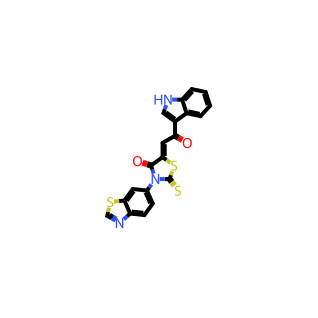 O=C(C=C1SC(=S)N(c2ccc3ncsc3c2)C1=O)c1c[nH]c2ccccc12